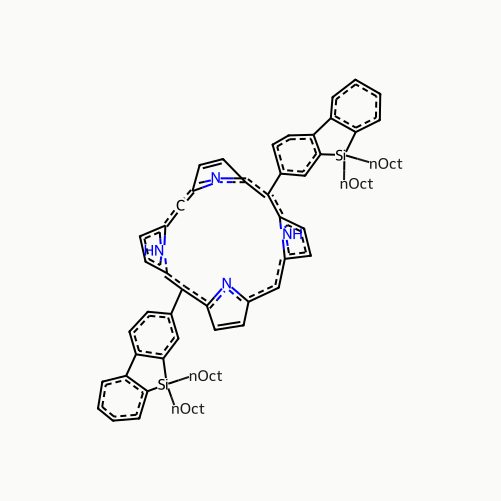 CCCCCCCC[Si]1(CCCCCCCC)c2ccccc2-c2ccc(-c3c4nc(cc5ccc([nH]5)c(-c5ccc6c(c5)[Si](CCCCCCCC)(CCCCCCCC)c5ccccc5-6)c5nc(cc6ccc3[nH]6)C=C5)C=C4)cc21